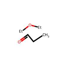 CCC=O.CCOCC